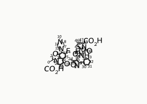 CC1COc2c(N3CCN(C)CC3)c(F)cc3c(=O)c(C(=O)O)cn1c23.Cc1onc(-c2ccccc2)c1C(=O)N[C@@H]1C(=O)N2[C@@H]1SC(C)(C)[C@@H]2C(=O)O